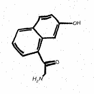 NC(=O)c1cccc2ccc(O)cc12